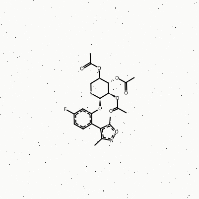 CC(=O)O[C@@H]1[C@@H](OC(C)=O)[C@@H](Oc2cc(F)ccc2-c2c(C)noc2C)SC[C@H]1OC(C)=O